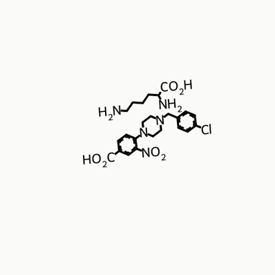 NCCCCC(N)C(=O)O.O=C(O)c1ccc(N2CCN(Cc3ccc(Cl)cc3)CC2)c([N+](=O)[O-])c1